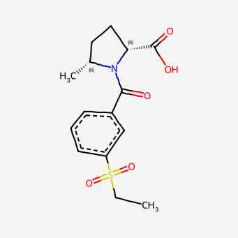 CCS(=O)(=O)c1cccc(C(=O)N2[C@H](C)CC[C@@H]2C(=O)O)c1